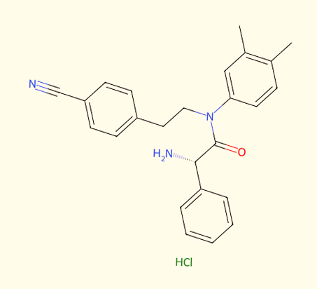 Cc1ccc(N(CCc2ccc(C#N)cc2)C(=O)[C@@H](N)c2ccccc2)cc1C.Cl